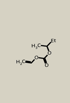 C=COC(=O)OC(C)CC